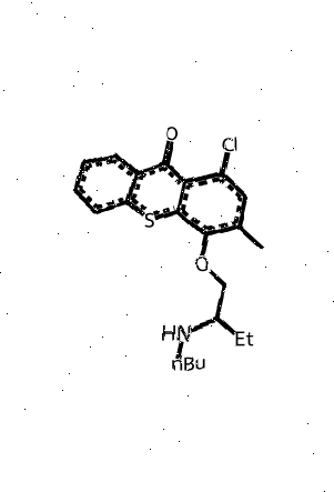 CCCCNC(CC)COc1c(C)cc(Cl)c2c(=O)c3ccccc3sc12